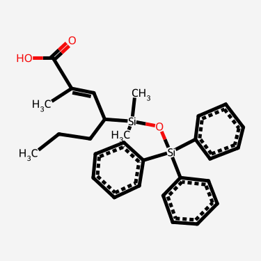 CCCC(/C=C(\C)C(=O)O)[Si](C)(C)O[Si](c1ccccc1)(c1ccccc1)c1ccccc1